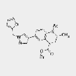 CC(=O)N1c2ccc(-c3cnn(Cc4ccno4)c3)cc2N(C(=O)OC(C)C)CC1C